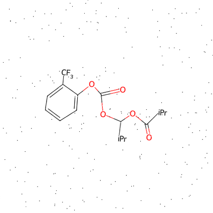 CC(C)C(=O)OC(OC(=O)Oc1ccccc1C(F)(F)F)C(C)C